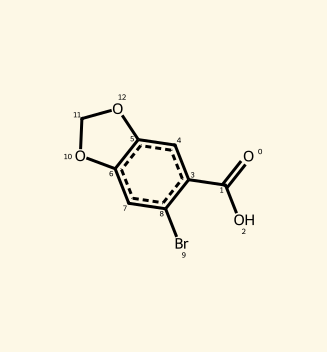 O=C(O)c1cc2c(cc1Br)OCO2